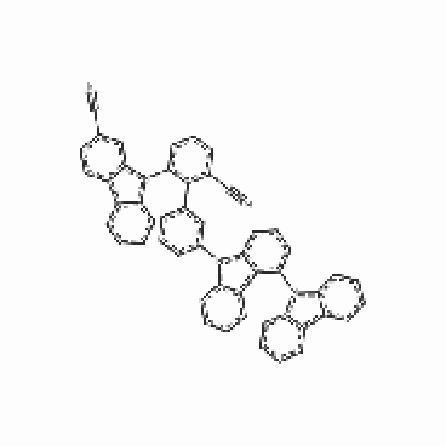 N#Cc1ccc2c3ccccc3n(-c3cccc(C#N)c3-c3cccc(-n4c5ccccc5c5c(-n6c7ccccc7c7ccccc76)cccc54)c3)c2c1